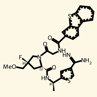 COC[C@@]1(F)C[C@@H](C(=O)N[C@H](C)c2cc(C(=N)N)cs2)N(C(=O)CNC(=O)c2ccc3c(c2)sc2ccccc23)C1